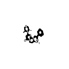 C[C@H]1COC[C@H](C)N1c1cc(=O)n2c(n1)N(CC(=O)c1ccccc1)C(C(F)(F)F)CC2